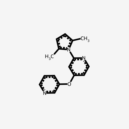 Cc1ccc(C)n1-c1cc(Oc2cccnc2)ccn1